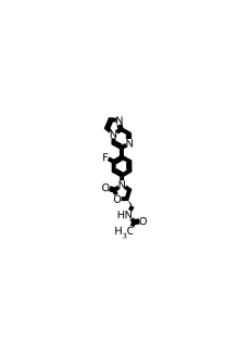 CC(=O)NC[C@H]1CN(c2ccc(-c3cn4ccnc4cn3)c(F)c2)C(=O)O1